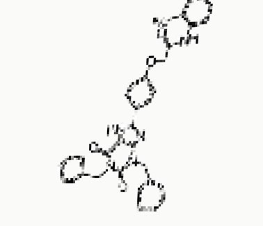 CC(=O)c1ccccc1NC(=O)COc1ccc(-c2nc3c([nH]2)c(=O)n(Cc2ccccc2)c(=O)n3Cc2ccccc2)cc1